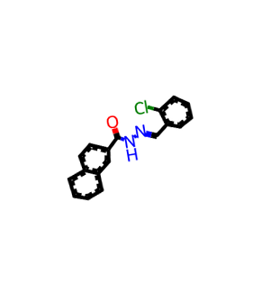 O=C(N/N=C/c1ccccc1Cl)c1ccc2ccccc2c1